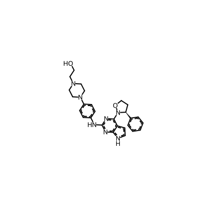 OCCN1CCN(c2ccc(Nc3nc(N4OCC[C@H]4c4ccccc4)c4cc[nH]c4n3)cc2)CC1